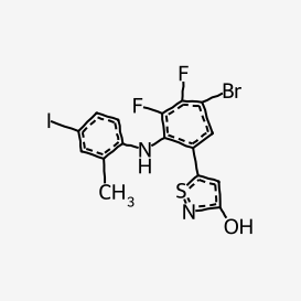 Cc1cc(I)ccc1Nc1c(-c2cc(O)ns2)cc(Br)c(F)c1F